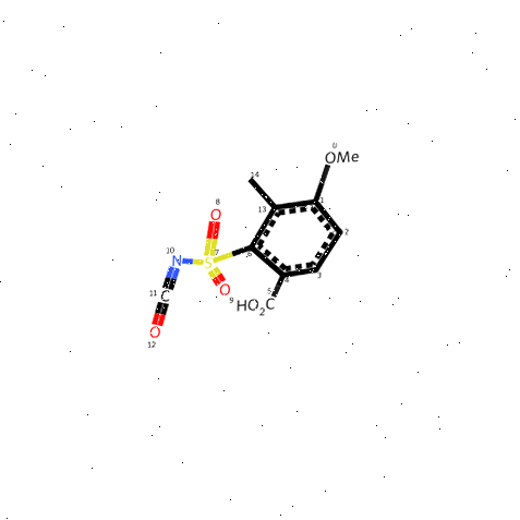 COc1ccc(C(=O)O)c(S(=O)(=O)N=C=O)c1C